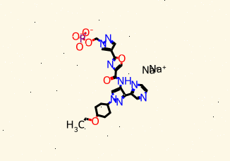 CCOC1CCC(n2cc(NC(=O)c3coc(-c4cnn(COP(=O)([O-])[O-])c4)n3)c(-c3cnccn3)n2)CC1.[Na+].[Na+]